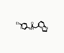 CCc1ccc(NC(=O)Cc2cccc3nccn23)cn1